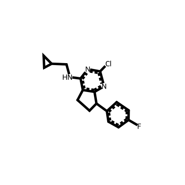 Fc1ccc(C2CCc3c(NCC4CC4)nc(Cl)nc32)cc1